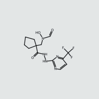 O=CN(O)CC1(C(=O)NNc2nccc(C(F)(F)F)n2)CCCC1